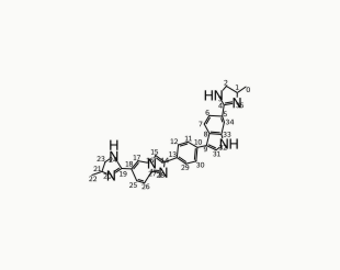 CC1CNC(c2ccc3c(-c4ccc(-c5cn6cc(C7=NC(C)CN7)ccc6n5)cc4)c[nH]c3c2)=N1